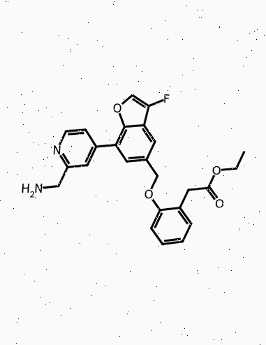 CCOC(=O)Cc1ccccc1OCc1cc(-c2ccnc(CN)c2)c2occ(F)c2c1